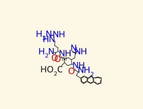 N=C(N)NCCCC(NC(=O)[C@H]1CC(Cc2cnc[nH]2)C(NC(=O)C(N)Cc2ccc3cc4ccccc4cc3c2)CC1CC(=O)O)C(N)=O